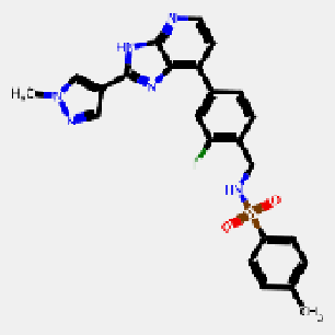 Cc1ccc(S(=O)(=O)NCc2ccc(-c3ccnc4[nH]c(-c5cnn(C)c5)nc34)cc2F)cc1